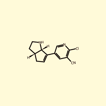 N#Cc1cc(C2=CC[C@@H]3CCN[C@H]23)cnc1Cl